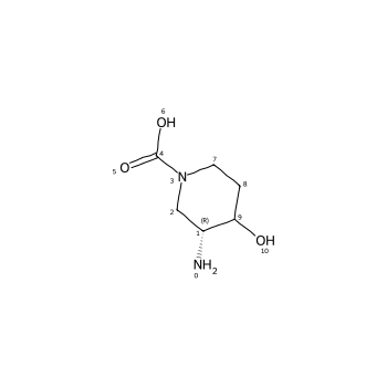 N[C@@H]1CN(C(=O)O)CCC1O